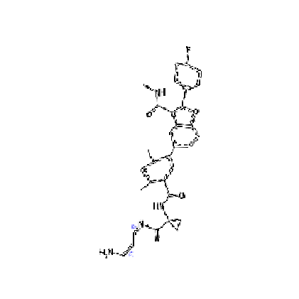 C=C(/N=C\C=C/N)C1(NC(=O)c2cc(-c3ccc4oc(-c5ccc(F)cc5)c(C(=O)NC)c4c3)c(C)cc2C)CC1